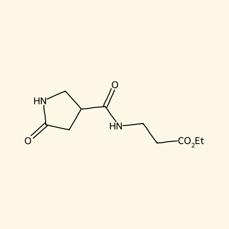 CCOC(=O)CCNC(=O)C1CNC(=O)C1